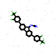 N#CN=C1c2cc(-c3ccc(C(F)(F)F)c(F)c3)ccc2-c2ccc(-c3ccc(C(F)(F)F)c(F)c3)cc21